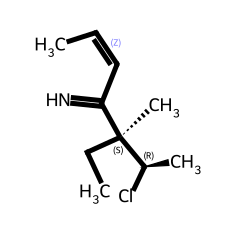 C/C=C\C(=N)[C@](C)(CC)[C@@H](C)Cl